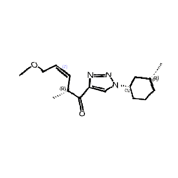 COC/C=C\[C@@H](C)C(=O)c1cn([C@H]2CCC[C@@H](C)C2)nn1